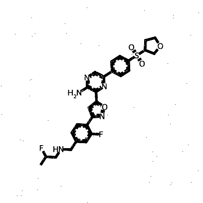 CC(F)CNCc1ccc(-c2cc(-c3nc(-c4ccc(S(=O)(=O)C5CCOC5)cc4)cnc3N)on2)c(F)c1